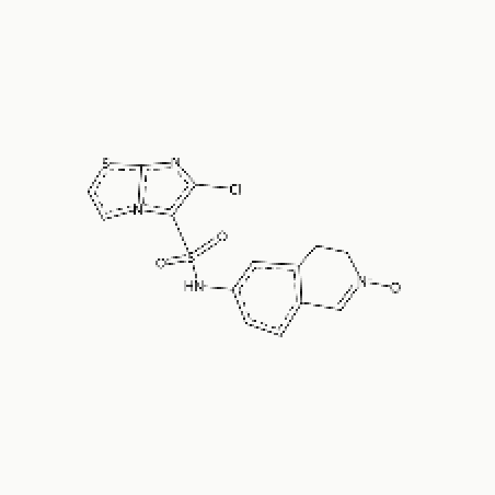 O=S(=O)(Nc1ccc2c(c1)CC[N+]([O-])=C2)c1c(Cl)nc2sccn12